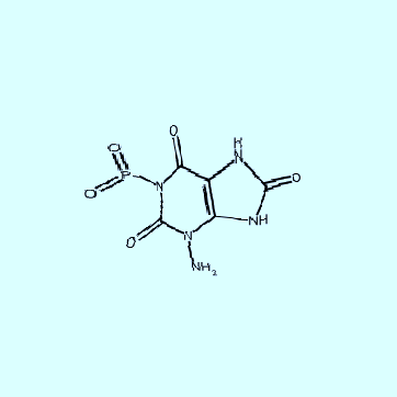 Nn1c(=O)n(P(=O)=O)c(=O)c2[nH]c(=O)[nH]c21